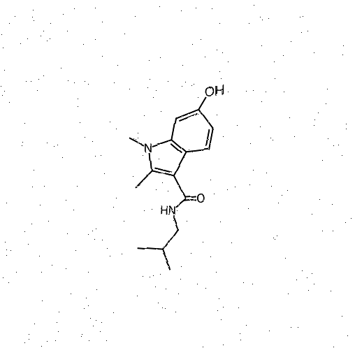 Cc1c(C(=O)NCC(C)C)c2ccc(O)cc2n1C